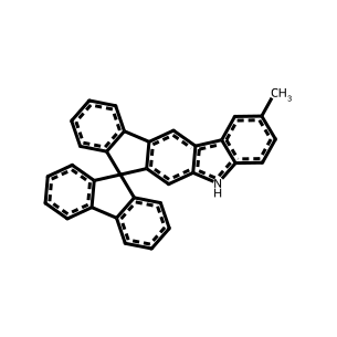 Cc1ccc2[nH]c3cc4c(cc3c2c1)-c1ccccc1C41c2ccccc2-c2ccccc21